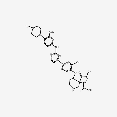 COc1nc(Nc2nccc(-c3ccc(OC4CCNCC4(C(=O)[C@@H](O)F)C(=O)[C@@H](O)F)c(C#N)c3)n2)ccc1N1CCN(C)CC1